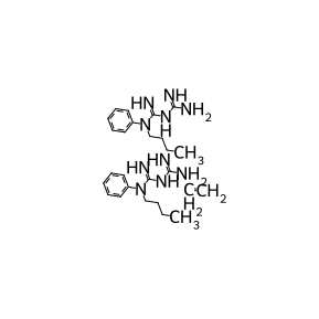 C=C.CCCCN(C(=N)NC(=N)N)c1ccccc1.CCCCN(C(=N)NC(=N)N)c1ccccc1